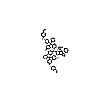 C=Cc1ccc(Oc2ccc(C3(c4ccc(F)cc4)c4ccccc4-c4ccc(N(c5ccc6c(c5)C(c5ccc(F)cc5)(c5ccc(Oc7ccc(C=C)cc7)cc5)c5ccccc5-6)c5ccc6c(c5)C5(c7ccccc7Oc7ccccc75)c5ccccc5-6)cc43)cc2)cc1